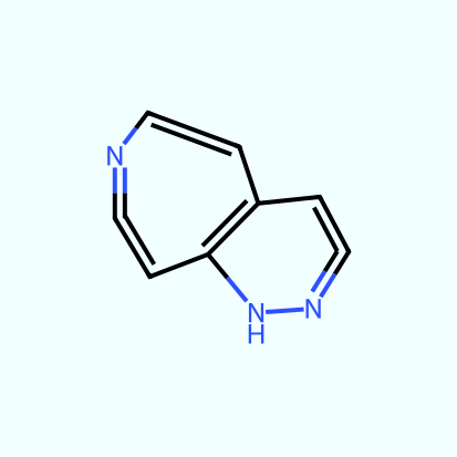 C1=CC2=C(C=C=NN2)C=CN=1